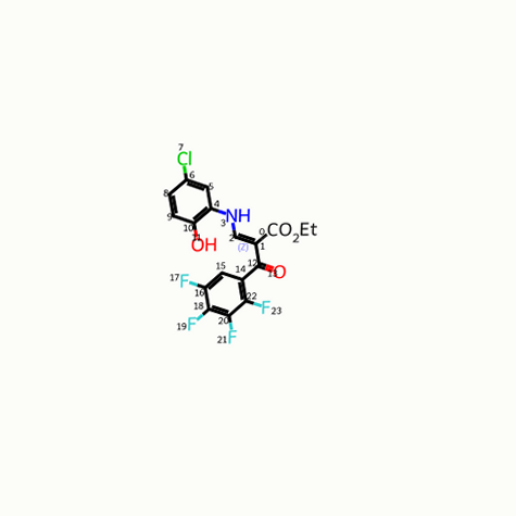 CCOC(=O)/C(=C\Nc1cc(Cl)ccc1O)C(=O)c1cc(F)c(F)c(F)c1F